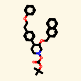 CC(C)(C)OC(=O)ON1CCC(c2ccc(CCOc3ccccc3)cc2)C(OCc2ccc3ccccc3c2)C1